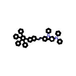 C1=C(N(c2ccccc2)c2ccccc2)CCc2c1n(-c1ccccc1)c1cc(/C=C/c3ccc4cc(-c5cc(-c6ccccc6)c(-c6ccccc6)c(-c6ccccc6)c5-c5ccccc5)ccc4c3)ccc21